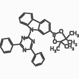 CC1(C)OB(c2ccc3c4ccccc4n(-c4nc(-c5ccccc5)nc(-c5ccccc5)n4)c3c2)OC1(C)C